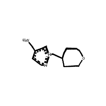 CNc1cnn(C2CCOCC2)c1